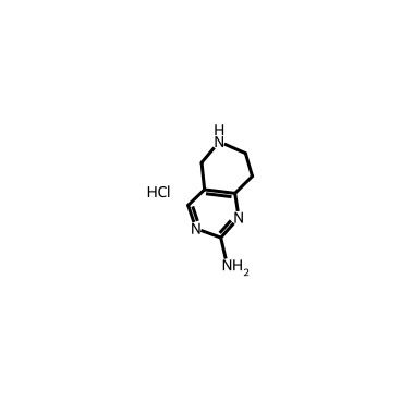 Cl.Nc1ncc2c(n1)CCNC2